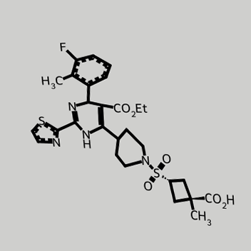 CCOC(=O)C1=C(C2CCN(S(=O)(=O)[C@H]3C[C@](C)(C(=O)O)C3)CC2)NC(c2nccs2)=NC1c1cccc(F)c1C